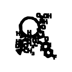 CCc1nc2ccc(F)cc2nc1O[C@@H]1C[C@H]2C(=O)N[C@]3(C(=O)NS(=O)(=O)C4(C)CC4)C[C@H]3/C=C\CCCCC[C@H](NC(=O)O)C(=O)N2C1